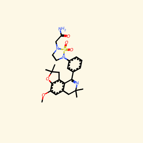 COc1cc2c(c3c1OC(C)(C)C3)C(c1cccc(N3CCN(CC(N)=O)S3(=O)=O)c1)=NC(C)(C)C2